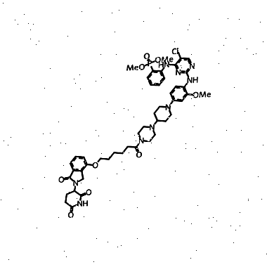 COc1cc(N2CCC(N3CCN(C(=O)CCCCCOc4cccc5c4CN(C4CCC(=O)NC4=O)C5=O)CC3)CC2)ccc1Nc1ncc(Cl)c(Nc2ccccc2P(=O)(OC)OC)n1